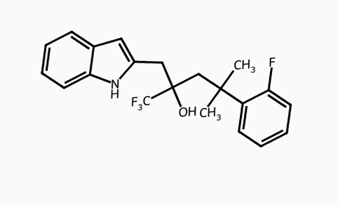 CC(C)(CC(O)(Cc1cc2ccccc2[nH]1)C(F)(F)F)c1ccccc1F